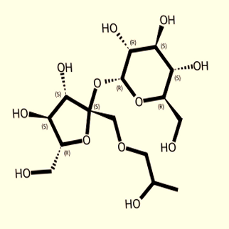 CC(O)COC[C@@]1(O[C@H]2O[C@H](CO)[C@@H](O)[C@H](O)[C@H]2O)O[C@H](CO)[C@@H](O)[C@@H]1O